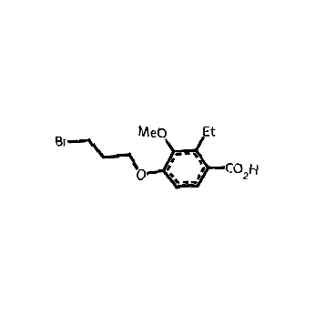 CCc1c(C(=O)O)ccc(OCCCBr)c1OC